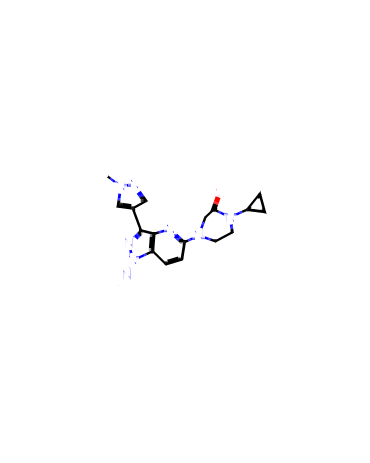 Cn1cc(-c2nn(N)c3ccc(N4CCN(C5CC5)C(=O)C4)nc23)cn1